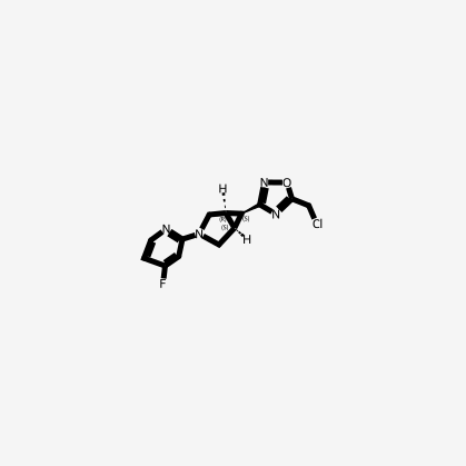 Fc1ccnc(N2C[C@@H]3[C@H](C2)[C@@H]3c2noc(CCl)n2)c1